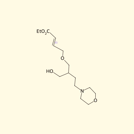 CCOC(=O)/C=C/COCC(CO)CCN1CCOCC1